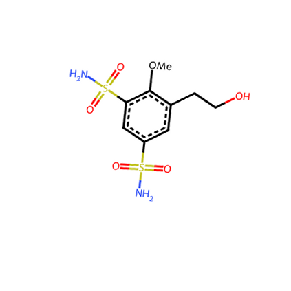 COc1c(CCO)cc(S(N)(=O)=O)cc1S(N)(=O)=O